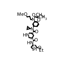 CCOCC[C@H](CC(C)C)NC(=O)[C@@H]1CNC[C@H](C(=O)N(c2ccc3c(c2)N(CCCOC)C(=O)C(C)(C)O3)C2CC2)C1